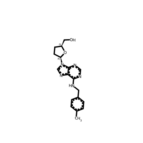 Cc1ccc(CNc2ncnc3c2ncn3[C@H]2CC[C@@H](CO)O2)cc1